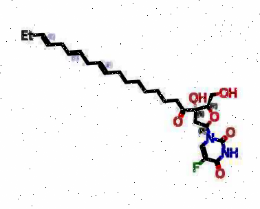 CC/C=C/C/C=C/C/C=C/CCCCCCCC(=O)[C@]1(O)C[C@H](n2cc(F)c(=O)[nH]c2=O)O[C@@H]1CO